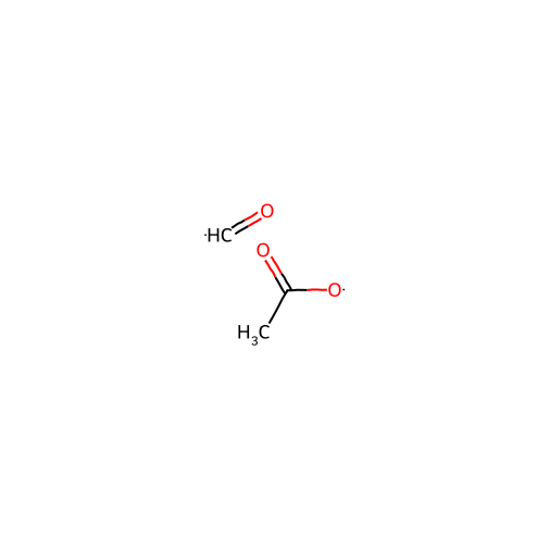 CC([O])=O.[CH]=O